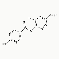 O=C(O)c1cnc(OC(=O)c2ccc(O)nc2)c(I)c1